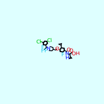 O=C(N[C@H](C(=O)O)C1CC1)c1cc(C2CC2)c(OCC2CCN(C(c3cc(Cl)cc(Cl)c3)C(F)(F)F)CC2)cc1F